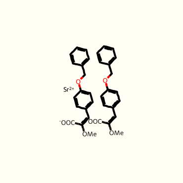 COC(=Cc1ccc(OCc2ccccc2)cc1)C(=O)[O-].COC(=Cc1ccc(OCc2ccccc2)cc1)C(=O)[O-].[Sr+2]